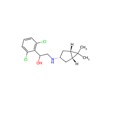 CC1(C)[C@@H]2C[C@H](NCC(O)c3c(Cl)cccc3Cl)C[C@@H]21